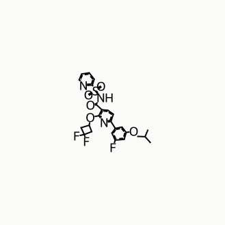 CC(C)COc1cc(F)cc(-c2ccc(C(=O)NS(=O)(=O)c3ccccn3)c(OC3CC(F)(F)C3)n2)c1